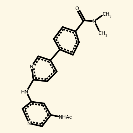 CC(=O)Nc1cncc(Nc2ccc(-c3ccc(C(=O)N(C)C)cc3)cn2)c1